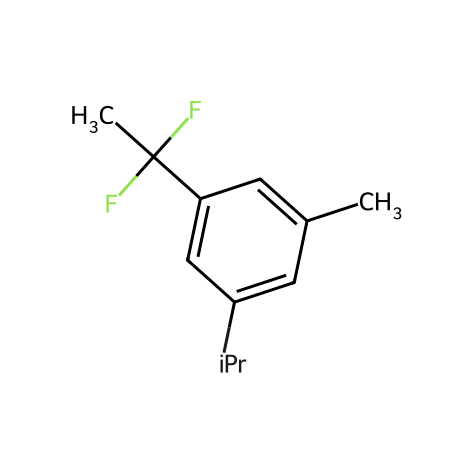 Cc1cc(C(C)C)cc(C(C)(F)F)c1